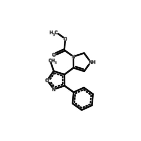 COC(=O)N1CNC=C1c1c(-c2ccccc2)noc1C